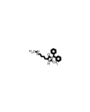 CCNCCCCC1N[C@@H](C)N(C(c2ccccc2)c2ccccc2)C1=O